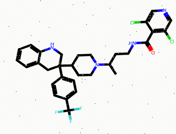 CC(CCNC(=O)c1c(Cl)cncc1Cl)N1CCC(C2(c3ccc(C(F)(F)F)cc3)CNc3ccccc3C2)CC1